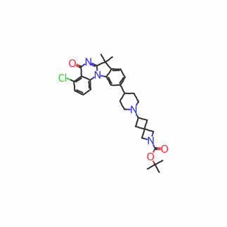 CC(C)(C)OC(=O)N1CC2(CC(N3CCC(c4ccc5c(c4)-n4c(nc(=O)c6c(Cl)cccc64)C5(C)C)CC3)C2)C1